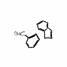 C1=Cc2ccccc2C1.O=Cc1ccccc1